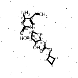 C=Cc1cn([C@@H]2O[C@H](CC(=O)OC3CCC3)[C@@H](O)[C@H]2O)c(=O)nc1N